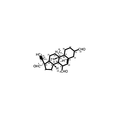 C#C[C@]1(C=O)CC[C@H]2[C@@H]3C(C=O)C=C4CC(C=O)CC[C@]4(C)[C@H]3CC[C@@]21C